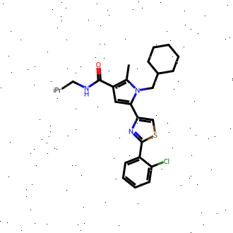 Cc1c(C(=O)NCC(C)C)cc(-c2csc(-c3ccccc3Cl)n2)n1CC1CCCCC1